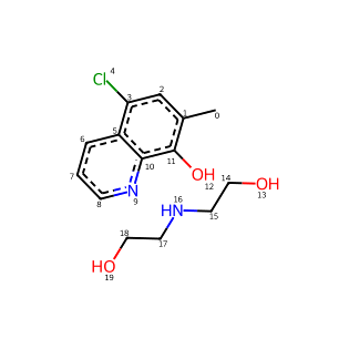 Cc1cc(Cl)c2cccnc2c1O.OCCNCCO